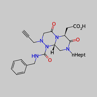 C#CCN1CC(=O)N2[C@@H](CC(=O)O)C(=O)N(CCCCCCC)C[C@@H]2N1C(=O)NCc1ccccc1